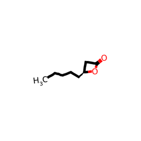 CCCCC[C@H]1CC(=O)O1